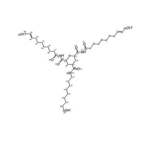 CCCCCCCCC=CCCCCCCCC(=O)NC(=O)C1CC(C(=O)NCCCCCCCCCCCCCCCCCC)CC(C(=O)NC(=O)CCCCCCCC=CCCCCCCCC)C1